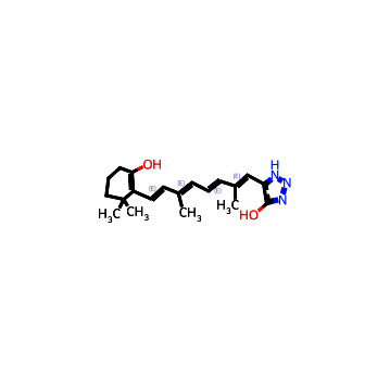 CC(/C=C/C1=C(O)CCCC1(C)C)=C\C=C\C(C)=C\c1[nH]nnc1O